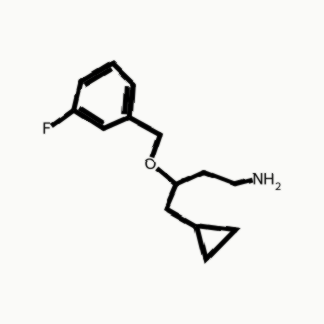 NCCC(CC1CC1)OCc1cccc(F)c1